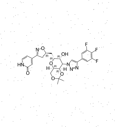 CC1(C)OC[C@H]2O[C@H](C[C@H]3CC(c4cc[nH]c(=O)c4)=NO3)[C@H](O)C(n3cc(-c4cc(F)c(F)c(F)c4)nn3)[C@H]2O1